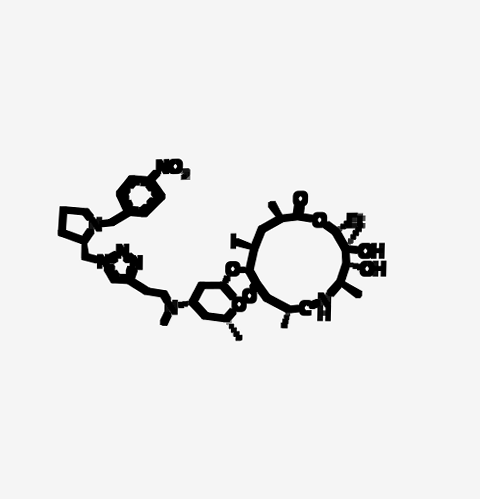 CC[C@H]1OC(=O)[C@H](C)C[C@H](I)[C@@H](O[C@H]2C[C@@H](N(C)CCc3cn(C[C@H]4CCCN4Cc4ccc([N+](=O)[O-])cc4)nn3)C[C@@H](C)O2)C(=O)C[C@@H](C)CN[C@H](C)[C@@H](O)[C@]1(C)O